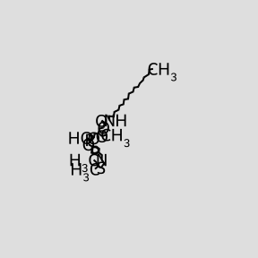 CCCCCCCCCCCCCCCCCCNC(=O)OCC(COP(O)Oc1ccc(CN2CSC(C)=C2C)cc1)OC